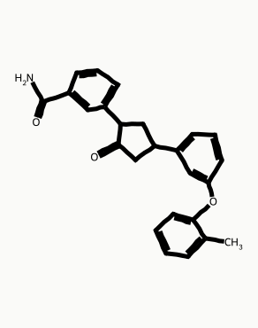 Cc1ccccc1Oc1cccc(C2CC(=O)C(c3cccc(C(N)=O)c3)C2)c1